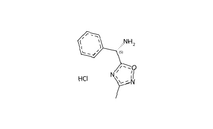 Cc1noc([C@@H](N)c2ccccc2)n1.Cl